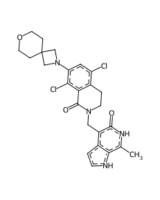 Cc1[nH]c(=O)c(CN2CCc3c(Cl)cc(N4CC5(CCOCC5)C4)c(Cl)c3C2=O)c2cc[nH]c12